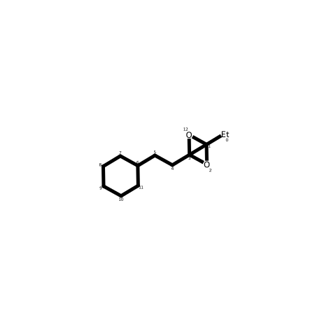 CCC12OC1(CCC1CCCCC1)O2